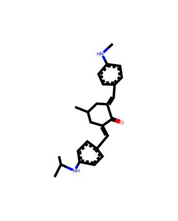 CNc1ccc(/C=C2\CC(C)C/C(=C\c3ccc(NC(C)C)cc3)C2=O)cc1